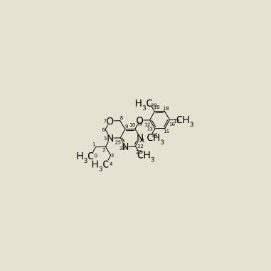 CCC(CC)N1COCc2c(Oc3c(C)cc(C)cc3C)nc(C)nc21